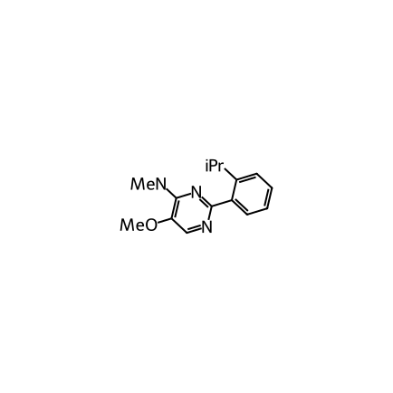 CNc1nc(-c2ccccc2C(C)C)ncc1OC